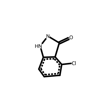 O=C1[N]Nc2cccc(Cl)c21